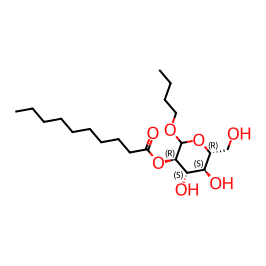 CCCCCCCCCC(=O)O[C@H]1C(OCCCC)O[C@H](CO)[C@@H](O)[C@@H]1O